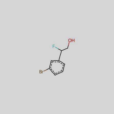 OCC(F)c1cccc(Br)c1